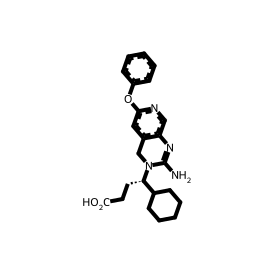 NC1=Nc2cnc(Oc3ccccc3)cc2CN1[C@@H](CCC(=O)O)C1CCCCC1